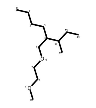 CCCCC(COCCOC)C(C)CC